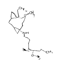 CCC(C)[C@@H](I)CCNC12CC1CC1CC1(C)[C@@H](C)C2